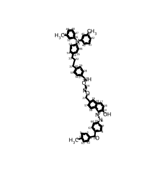 Cc1ccc(C(=O)c2ccc(N=Nc3c(O)ccc4cc(CO/N=C/ONc5ccc(CCCc6ccc(N(c7cccc(C)c7)c7cccc(C)c7)cc6)cc5)ccc34)cc2)cc1